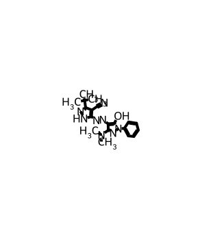 CN(C)c1nn(-c2ccccc2)c(O)c1/N=N/c1[nH]nc(C(C)(C)C)c1C#N